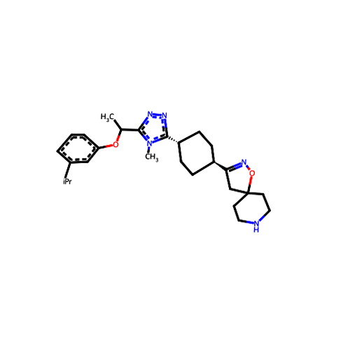 CC(C)c1cccc(OC(C)c2nnc([C@H]3CC[C@H](C4=NOC5(CCNCC5)C4)CC3)n2C)c1